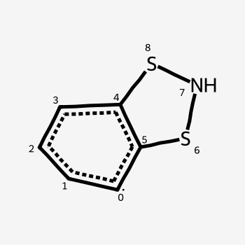 [c]1cccc2c1SNS2